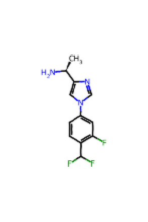 C[C@H](N)c1cn(-c2ccc(C(F)F)c(F)c2)cn1